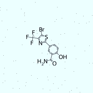 NC(=O)c1cc(-c2nc(C(F)(F)F)c(Br)s2)ccc1O